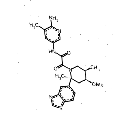 CO[C@H]1C[C@@](C)(c2ccc3scnc3c2)N(C(=O)C(=O)Nc2cnc(N)c(C)c2)C[C@H]1C